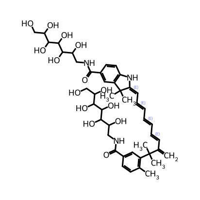 C=C(/C=C/C=C/C=C/C=C1/Nc2ccc(C(=O)NCC(O)C(O)C(O)C(O)C(O)CO)cc2C1(C)C)C(C)(C)c1cc(C(=O)NCC(O)C(O)C(O)C(O)C(O)CO)ccc1C